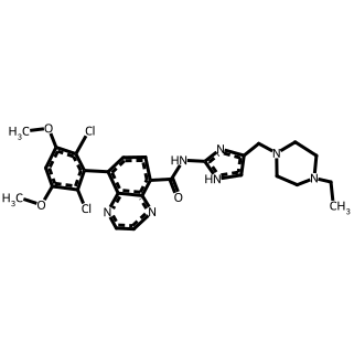 CCN1CCN(Cc2c[nH]c(NC(=O)c3ccc(-c4c(Cl)c(OC)cc(OC)c4Cl)c4nccnc34)n2)CC1